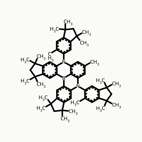 Cc1cc2c3c(c1)N(c1cc4c(cc1C)C(C)(C)CC4(C)C)c1cc4c(cc1B3c1cc3c(cc1N2c1cc2c(cc1C)C(C)(C)CC2(C)C)C(C)(C)CC3(C)C)C(C)(C)CC4(C)C